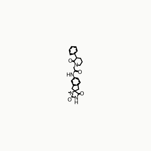 CN1C(=O)NC(=O)C12Cc1ccc(NC(=O)CN3CCCC(c4ccccc4)C3=O)cc1C2